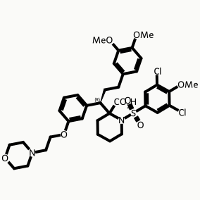 COc1ccc(CC[C@H](c2cccc(OCCN3CCOCC3)c2)C2(C(=O)O)CCCCN2S(=O)(=O)c2cc(Cl)c(OC)c(Cl)c2)cc1OC